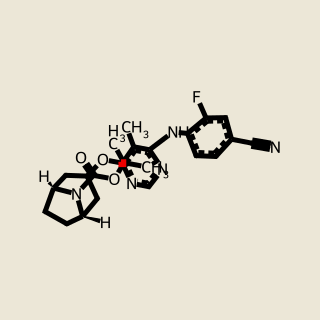 Cc1c(Nc2ccc(C#N)cc2F)ncnc1OC1C[C@@H]2CC[C@@H](C1)N2C(=O)OC(C)C